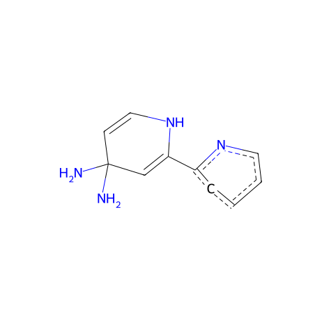 NC1(N)C=CNC(c2ccccn2)=C1